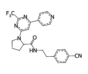 N#Cc1ccc(CCNC(=O)C2CCCN2c2cc(-c3ccncc3)nc(C(F)(F)F)n2)cc1